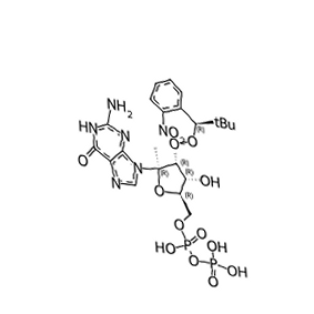 CC(C)(C)[C@@H](OO[C@@H]1[C@H](O)[C@@H](COP(=O)(O)OP(=O)(O)O)O[C@@]1(C)n1cnc2c(=O)[nH]c(N)nc21)c1ccccc1[N+](=O)[O-]